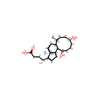 C[C@H](CCC(=O)O)C1CCC2C3C(CC[C@@]21C)[C@@H](C)CC[C@@H](O)CCC[C@H]3O